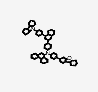 c1ccc2c(-c3ccc(-n4c5ccccc5c5ccccc54)cc3)cc(-c3ccc(N(c4ccc(-c5ccc6c(c5)oc5ccccc56)cc4)c4cc5ccccc5c5ccccc45)cc3)cc2c1